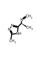 C=N[C@@H](C)c1nnc(C)[nH]1